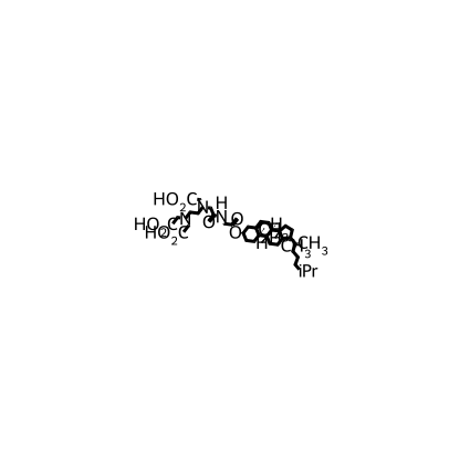 CC(C)CCC[C@@H](C)C1CC[C@H]2[C@@H]3CC=C4C[C@@H](OC(=O)CNC(=O)CN(CCN(CC(=O)O)CC(=O)O)CC(=O)O)CC[C@]4(C)[C@H]3CC[C@]12C